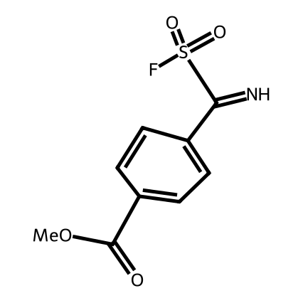 COC(=O)c1ccc(C(=N)S(=O)(=O)F)cc1